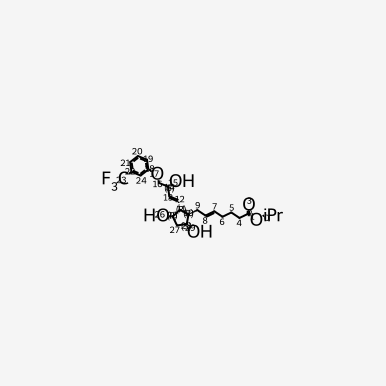 CC(C)OC(=O)CCCC=CC[C@@H]1[C@@H](C=C[C@H](O)COc2cccc(C(F)(F)F)c2)[C@H](O)C[C@@H]1O